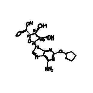 Nc1nc(OC2CCCC2)nc2c1ncn2[C@@H]1O[C@H](C(=O)O)[C@@H](O)[C@H]1O